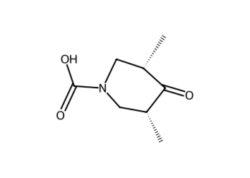 C[C@@H]1CN(C(=O)O)C[C@H](C)C1=O